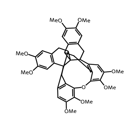 COc1cc2c(cc1OC)C1Cc3c4cc(OC)c(OC)c3Oc3c5c(cc(OC)c3OC)C3Cc6cc(OC)c(OC)cc6C(C5)C13C4C2